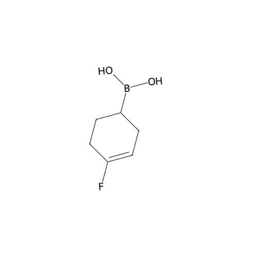 OB(O)C1CC=C(F)CC1